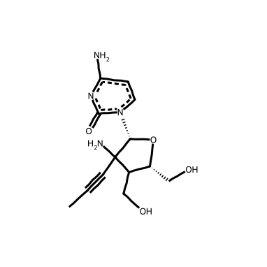 CC#CC1(N)C(CO)[C@@H](CO)O[C@H]1n1ccc(N)nc1=O